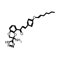 CCCCCC=COc1ccc(C=CC(=O)c2cccc3c2OC(N)(c2nnn[nH]2)CO3)cc1